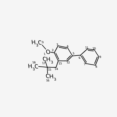 COc1ccc(-c2ccccc2)cc1CC(C)(C)C